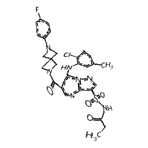 CCC(=O)NS(=O)(=O)c1cnn2c(Nc3cc(C)ccc3Cl)c(C(=O)N3CC4(C3)CN(c3ccc(F)cc3)C4)cnc12